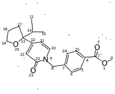 COC(=O)c1ccc(Cn2ccc(C3(C(C)C)CCCO3)cc2=O)cc1